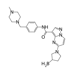 BC1CCN(c2ccn3ncc(C(=O)Nc4ccc(CN5CCN(C)CC5)cc4)c3n2)C1